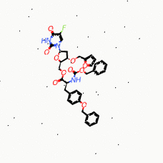 O=C(N[C@@H](Cc1ccc(OCc2ccccc2)cc1)C(=O)OC[C@H]1O[C@@H](n2cc(F)c(=O)[nH]c2=O)C[C@@H]1OCc1ccco1)OCc1ccccc1